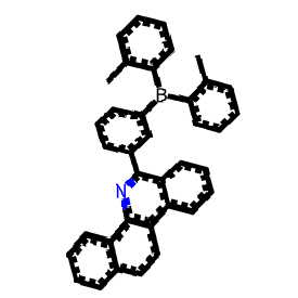 Cc1ccccc1B(c1cccc(-c2nc3c4ccccc4ccc3c3ccccc23)c1)c1ccccc1C